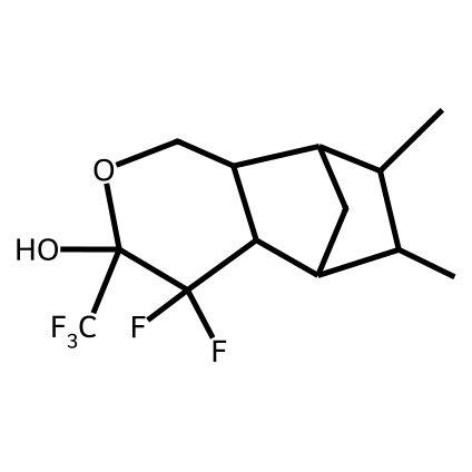 CC1C(C)C2CC1C1COC(O)(C(F)(F)F)C(F)(F)C21